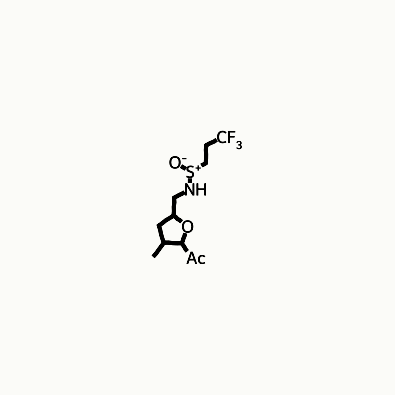 CC(=O)C1OC(CN[S+]([O-])CCC(F)(F)F)CC1C